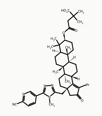 CC(C)C1=C2[C@H]3CC[C@@H]4[C@@]5(C)CC[C@H](OC(=O)CC(C)(C)C(=O)O)C(C)(C)[C@@H]5CC[C@@]4(C)[C@]3(C)CC[C@@]2(Cc2nnc(-c3ccc(C#N)nc3)n2C)CC1=O